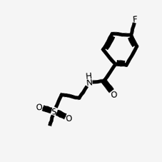 CS(=O)(=O)CCNC(=O)c1ccc(F)cc1